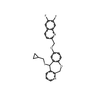 Fc1cc2ccc(COc3ccc4c(c3)C(SC[C]3CC3)c3cccnc3CO4)nc2cc1F